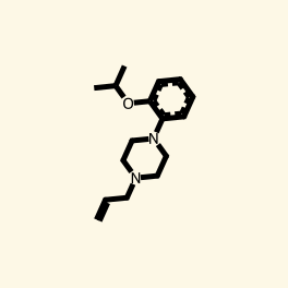 C=CCN1CCN(c2ccccc2OC(C)C)CC1